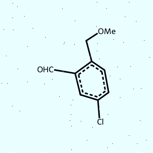 COCc1ccc(Cl)cc1C=O